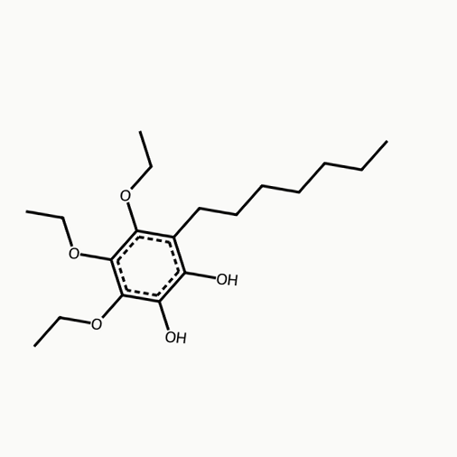 CCCCCCCc1c(O)c(O)c(OCC)c(OCC)c1OCC